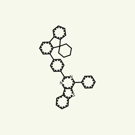 c1ccc(-c2nc(-c3ccc(-c4cccc5c4C4(CCCCC4)c4ccccc4-5)cc3)nc3c2sc2ccccc23)cc1